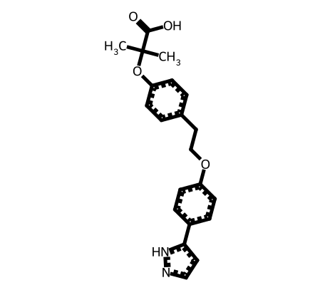 CC(C)(Oc1ccc(CCOc2ccc(-c3ccn[nH]3)cc2)cc1)C(=O)O